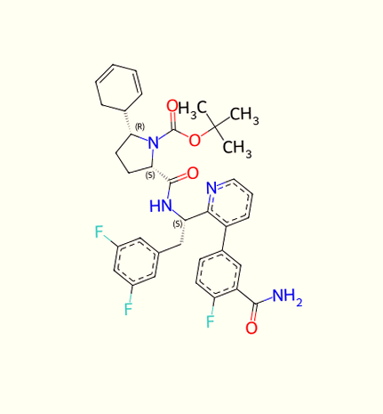 CC(C)(C)OC(=O)N1[C@@H](C2C=CC=CC2)CC[C@H]1C(=O)N[C@@H](Cc1cc(F)cc(F)c1)c1ncccc1-c1ccc(F)c(C(N)=O)c1